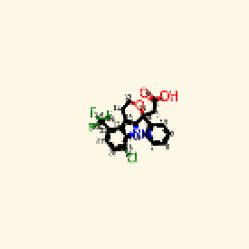 O=C(O)CC1(c2ccccc2)OCCc2c1[nH]c1c(Cl)ccc(C(F)(F)F)c21